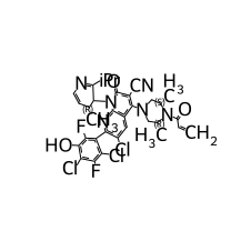 C=CC(=O)N1[C@H](C)CN(c2c(C#N)c(=O)n(C3C(C(C)C)=NC=C[C@H]3C)c3nc(-c4c(F)c(O)c(Cl)c(F)c4Cl)c(Cl)cc23)C[C@@H]1C